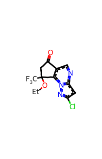 CCOC1(C(F)(F)F)CC(=O)c2cnc3cc(Cl)nn3c21